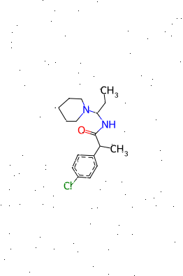 CCC(NC(=O)C(C)c1ccc(Cl)cc1)N1CC[CH]CC1